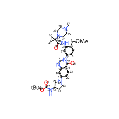 COCc1ccc(-n2cnc3cc(N4CC[C@@H](NC(=O)OC(C)(C)C)C4)ccc3c2=O)cc1NC(=O)C1(N2CCN(C)CC2)CC1